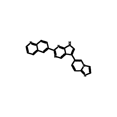 c1cnc2ccc(-c3ncc4c(-c5ccc6nccn6c5)c[nH]c4n3)cc2c1